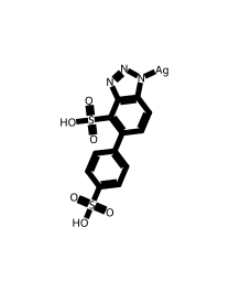 O=S(=O)(O)c1ccc(-c2ccc3c(nn[n]3[Ag])c2S(=O)(=O)O)cc1